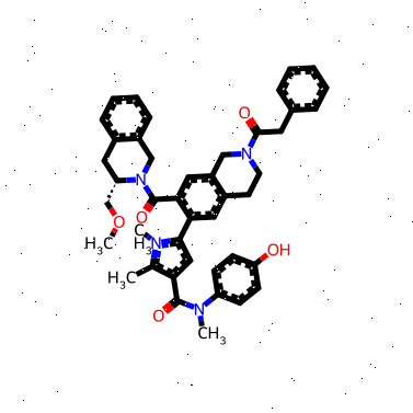 COC[C@@H]1Cc2ccccc2CN1C(=O)c1cc2c(cc1-c1cc(C(=O)N(C)c3ccc(O)cc3)c(C)n1C)CCN(C(=O)Cc1ccccc1)C2